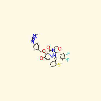 [N-]=[N+]=Nc1ccc(COc2c3n(ccc2=O)N([C@@H]2c4ccccc4SCc4c2ccc(F)c4F)C2COCCN2C3=O)cc1